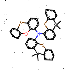 C[Si]1(C)c2ccccc2Sc2c(N(c3cccc4c3Oc3ccccc3S4)c3cccc4c3Sc3ccccc3[Si]4(C)C)cccc21